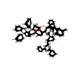 Cc1ccc2c(c1)c1ccccc1n2-c1ccc(-c2nc(-c3ccccc3)nc(-c3ccccc3)n2)cc1-c1nc(-c2ccccc2)cc(-c2ccc(-c3ccc4c5c3N(c3ccccc3)c3ccccc3B5c3ccccc3N4c3ccccc3)cc2)n1